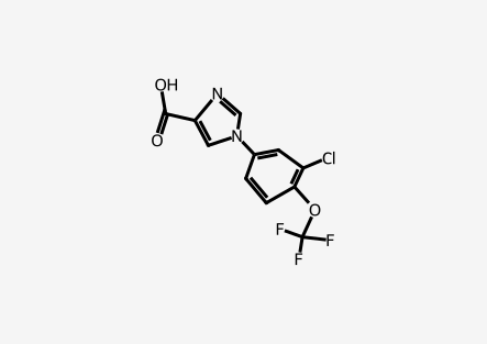 O=C(O)c1cn(-c2ccc(OC(F)(F)F)c(Cl)c2)cn1